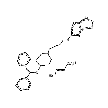 O=C(O)C=CC(=O)O.c1ccc(C(OC2CCN(CCCOc3ccc4ncnn4n3)CC2)c2ccccc2)cc1